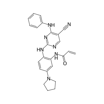 C=CC(=O)Nc1cc(N2CCCC2)ccc1Nc1ncc(C#N)c(Nc2ccccc2)n1